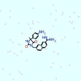 CN1C(=O)N(Cc2ccc3ccc(C(=N)N)cc3c2)C(=O)C1(C)c1ccc(N)cc1